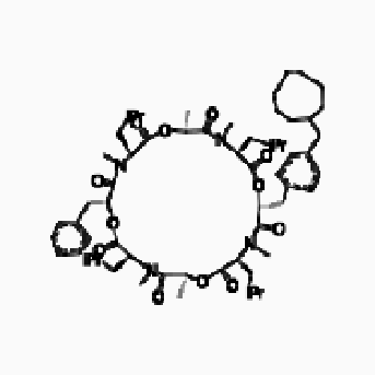 CC(C)C[C@H]1C(=O)O[C@H](Cc2ccc(CC3CCCCCCC3)cc2)C(=O)N(C)[C@@H](CC(C)C)C(=O)O[C@H](C)C(=O)N(C)[C@@H](CC(C)C)C(=O)O[C@H](Cc2ccccc2)C(=O)N(C)[C@@H](CC(C)C)C(=O)O[C@H](C)C(=O)N1C